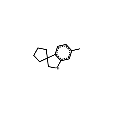 Cc1ccc2c(c1)NCC21CCCC1